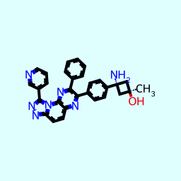 C[C@]1(O)C[C@@](N)(c2ccc(-c3nc4ccc5nnc(-c6cccnc6)n5c4nc3-c3ccccc3)cc2)C1